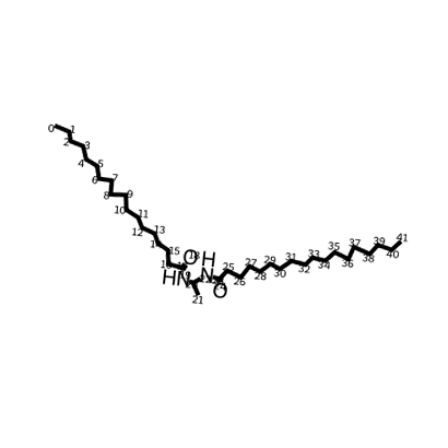 CCCCCCCCCCCCCCCCCC(=O)NC(C)NC(=O)CCCCCCCCCCCCCCCCC